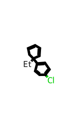 CCC1(c2ccc(Cl)cc2)C=CC=CC1